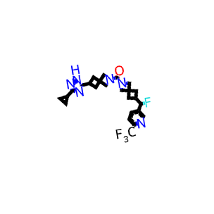 O=C(N1CC2(CC(c3nc(C4CC4)n[nH]3)C2)C1)N1CC2(CC(C(F)c3ccc(C(F)(F)F)nc3)C2)C1